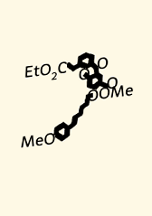 CCOC(=O)CCc1cccc2c(=O)c3cc(C(=O)OC)c(OCCCCC=Cc4ccc(OC)cc4)cc3oc12